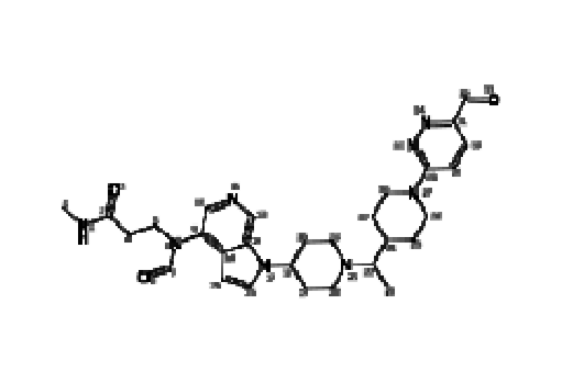 CNC(=O)CCN(C=O)c1cncc2c1ccn2C1CCN(C(C)C2CCN(c3ccc(C=O)nn3)CC2)CC1